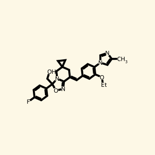 CCOc1cc(/C=C2\CC3(CC3)CN3C2=NOC3(CO)c2ccc(F)cc2)ccc1-n1cnc(C)c1